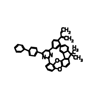 C=CC(=C)c1ccc(-c2cc(-c3ccc(-c4ccccc4)cc3)nc(-c3cccc4c3Oc3c(ccc5c3-c3ccccc3C5(C)C)O4)n2)cc1